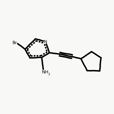 Nc1cc(Br)cnc1C#CC1CCCC1